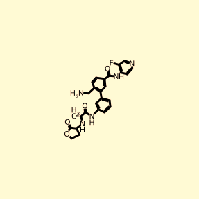 C[C@H](NC1CCOC1=O)C(=O)Nc1cccc(-c2cc(C(=O)Nc3ccncc3F)ccc2CN)c1